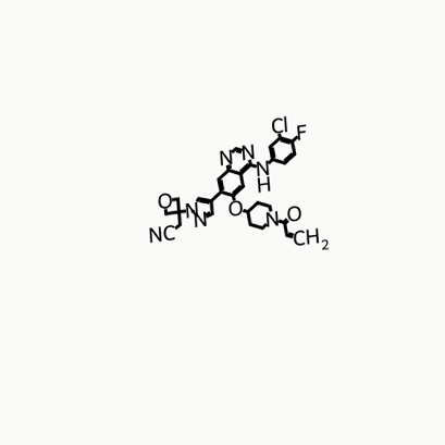 C=CC(=O)N1CCC(Oc2cc3c(Nc4ccc(F)c(Cl)c4)ncnc3cc2-c2cnn(C3(CC#N)COC3)c2)CC1